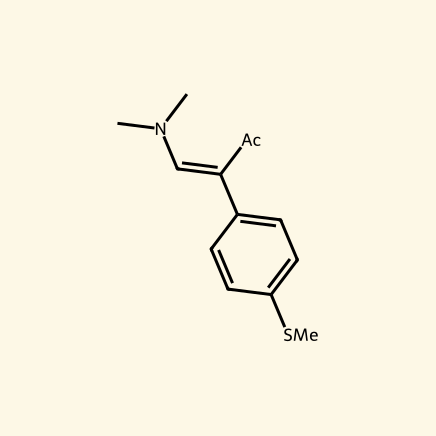 CSc1ccc(C(=CN(C)C)C(C)=O)cc1